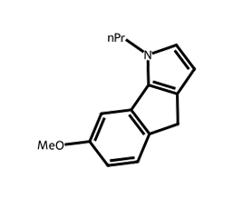 C[CH]Cn1ccc2c1-c1cc(OC)ccc1C2